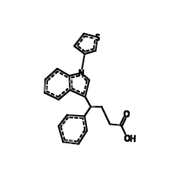 O=C(O)CCC(c1ccccc1)c1cn(-c2ccsc2)c2ccccc12